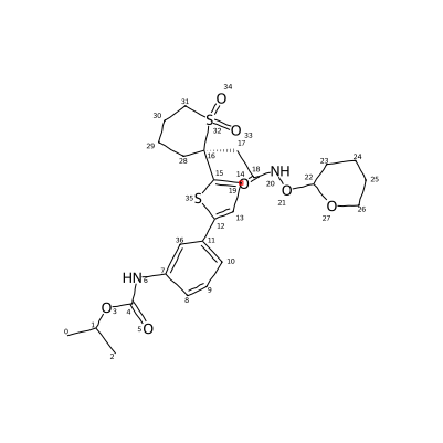 CC(C)OC(=O)Nc1cccc(-c2ccc([C@@]3(CC(=O)NOC4CCCCO4)CCCCS3(=O)=O)s2)c1